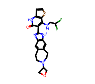 O=c1[nH]c2ccsc2c(NCC(F)F)c1-c1nc2cc3c(cc2[nH]1)CCN(C1COC1)CC3